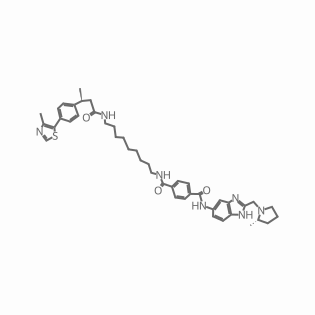 Cc1ncsc1-c1ccc([C@@H](C)CC(=O)NCCCCCCCCCNC(=O)c2ccc(C(=O)Nc3ccc4[nH]c(CN5CCC[C@@H]5C)nc4c3)cc2)cc1